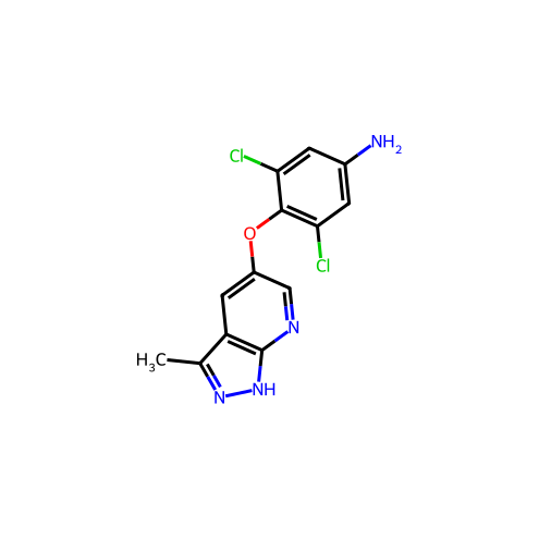 Cc1n[nH]c2ncc(Oc3c(Cl)cc(N)cc3Cl)cc12